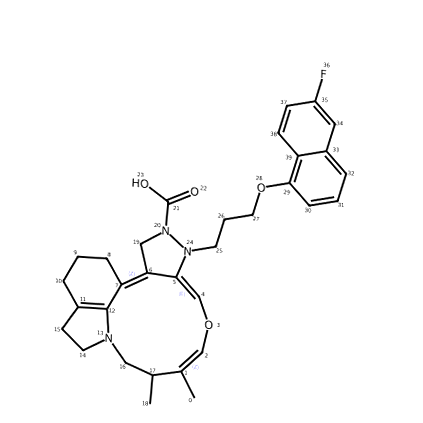 C/C1=C/O/C=C2\C(=C3\CCCC4=C3N(CC4)CC1C)CN(C(=O)O)N2CCCOc1cccc2cc(F)ccc12